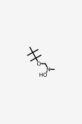 CN(O)COC(C)(C)C(C)(C)C